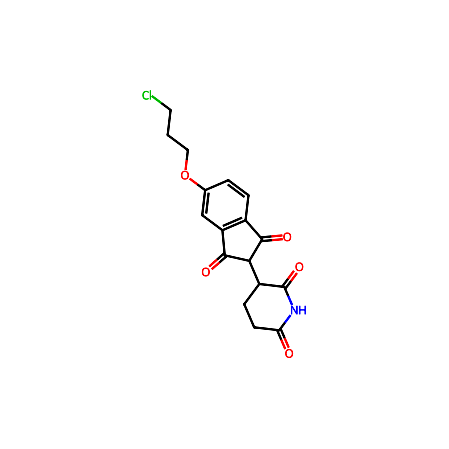 O=C1CCC(C2C(=O)c3ccc(OCCCCl)cc3C2=O)C(=O)N1